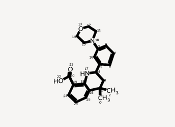 CC1(C)CC(c2cccc(N3CCOCC3)c2)Nc2c(C(=O)O)cccc21